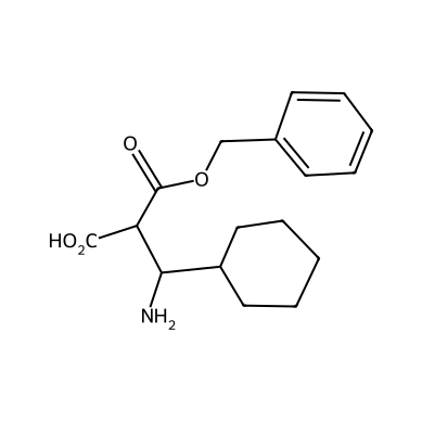 NC(C1CCCCC1)C(C(=O)O)C(=O)OCc1ccccc1